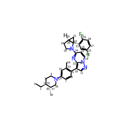 CC[C@H]1CCN(c2ccc(-c3cnn4ccc(N5CC[C@H]6C[C@]65c5cc(F)ccc5F)nc34)c(C)c2)C[C@@H]1C